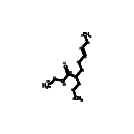 CCC=CCCC(CCC)C(=O)OCC